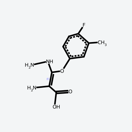 Cc1cc(O/C(NN)=C(/N)C(=O)O)ccc1F